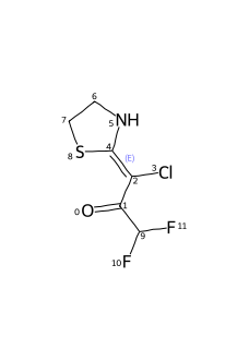 O=C(/C(Cl)=C1/NCCS1)C(F)F